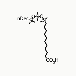 CCCCCCCCCC[Si](C)(C)O[Si](C)(C)O[Si](C)(C)CCCCCCCCCCC(=O)O